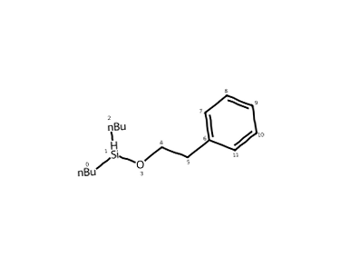 CCCC[SiH](CCCC)OCCc1ccccc1